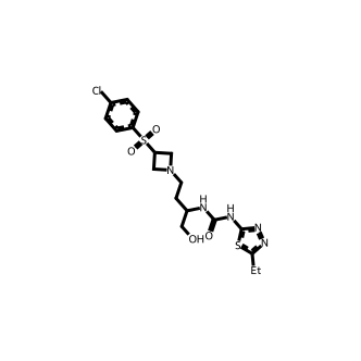 CCc1nnc(NC(=O)NC(CO)CCN2CC(S(=O)(=O)c3ccc(Cl)cc3)C2)s1